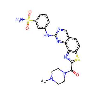 CC(=O)N1CCN(C(=O)c2nc3c(ccc4cnc(Nc5cccc(S(N)(=O)=O)c5)nc43)s2)CC1